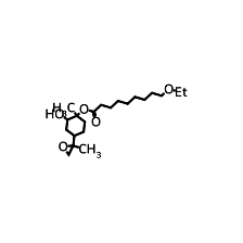 CCOCCCCCCCCC(=O)OC1(C)CCC(C2(C)CO2)CC1O